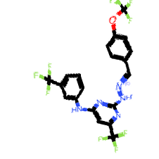 FC(F)(F)Oc1ccc(/C=N/Nc2nc(Nc3cccc(C(F)(F)F)c3)cc(C(F)(F)F)n2)cc1